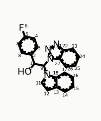 OC(c1ccc(F)cc1)C(n1ccc2ccccc21)n1nnc2ccccc21